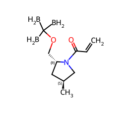 BC(B)(B)OC[C@H]1C[C@H](C)CN1C(=O)C=C